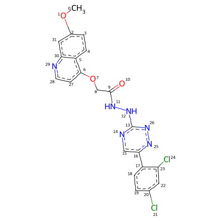 COc1ccc2c(OCC(=O)NNc3ncc(-c4ccc(Cl)cc4Cl)nn3)ccnc2c1